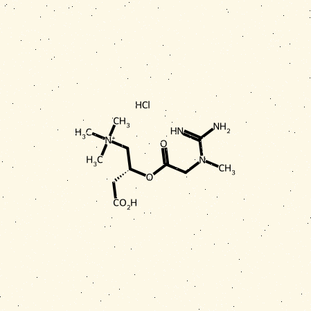 CN(CC(=O)O[C@H](CC(=O)O)C[N+](C)(C)C)C(=N)N.Cl